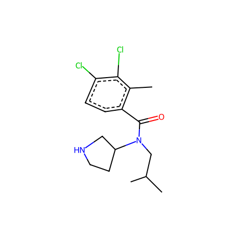 Cc1c(C(=O)N(CC(C)C)C2CCNC2)ccc(Cl)c1Cl